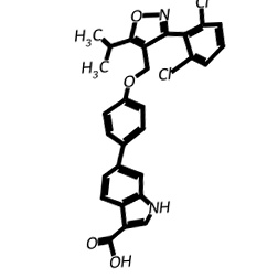 CC(C)c1onc(-c2c(Cl)cccc2Cl)c1COc1ccc(-c2ccc3c(C(=O)O)c[nH]c3c2)cc1